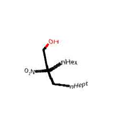 CCCCCCCCC(CO)(CCCCCC)[N+](=O)[O-]